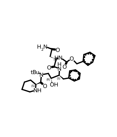 CC(C)(C)N(C[C@@H](O)[C@H](Cc1ccccc1)NC(=O)[C@H](CC(N)=O)NC(=O)OCc1ccccc1)C(=O)[C@@H]1CCCCN1